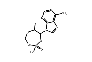 CC1OCOP(=O)(O)OC1n1cnc2c(N)ncnc21